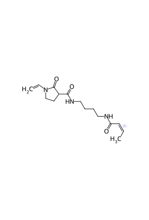 C=CN1CCC(C(=O)NCCCCNC(=O)/C=C\C)C1=O